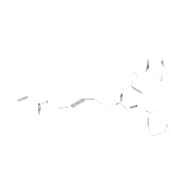 C=CC(=O)NCC#CCSc1nc(Nc2cc(C)n[nH]2)cc(N2CCN(C)CC2)n1